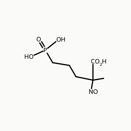 CC(CCCP(=O)(O)O)(N=O)C(=O)O